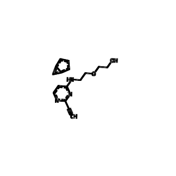 C#Cc1nccc(NCCOCCO)n1.c1cc2cc-2c1